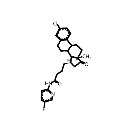 C[C@]12CCC3c4ccc(Cl)cc4CCC3C1[C@H](CCCC(=O)Nc1ccc(F)cn1)CC2=O